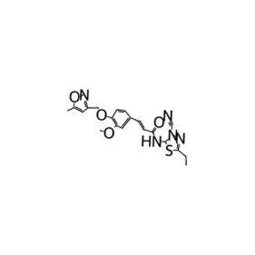 CCC1=NN(C#N)C(NC(=O)C=Cc2ccc(OCc3cc(C)on3)c(OC)c2)S1